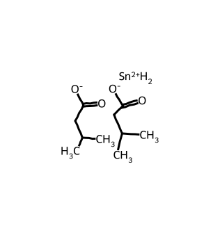 CC(C)CC(=O)[O-].CC(C)CC(=O)[O-].[SnH2+2]